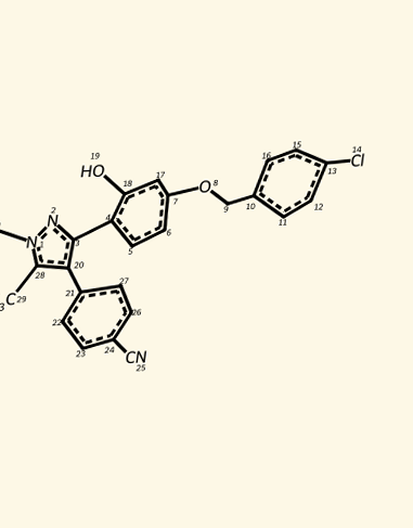 Cn1nc(-c2ccc(OCc3ccc(Cl)cc3)cc2O)c(-c2ccc(C#N)cc2)c1C(F)(F)F